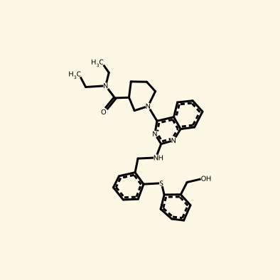 CCN(CC)C(=O)C1CCCN(c2nc(NCc3ccccc3Sc3ccccc3CO)nc3ccccc23)C1